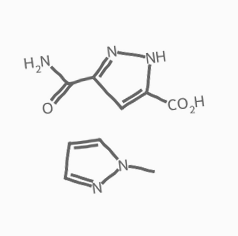 Cn1cccn1.NC(=O)c1cc(C(=O)O)[nH]n1